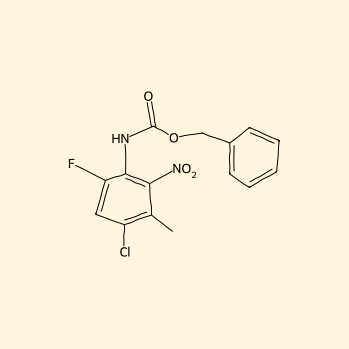 Cc1c(Cl)cc(F)c(NC(=O)OCc2ccccc2)c1[N+](=O)[O-]